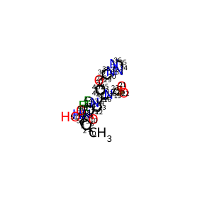 CC1CC2CC(C1)C(NC(=O)c1ccc(-c3cn(C4CS(=O)(=O)C4)c4cc(OC5CCN(c6ncccn6)CC5)ccc34)nc1C(F)(F)F)(C(=O)O)C2